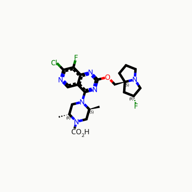 C[C@@H]1CN(c2nc(OC[C@@]34CCCN3C[C@H](F)C4)nc3c(F)c(Cl)ncc23)[C@@H](C)CN1C(=O)O